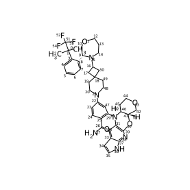 CC(C)(c1ccccc1[C@@H]1COCCCN1C1CC2(CCN(c3ccc(C(N)=O)c(N4c5cc6cc[nH]c6nc5O[C@H]5COCC[C@@H]54)c3)CC2)C1)C(F)(F)F